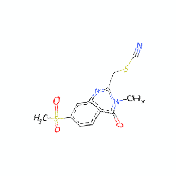 Cn1c(CSC#N)nc2cc(S(C)(=O)=O)ccc2c1=O